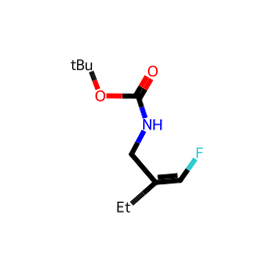 CCC(=CF)CNC(=O)OC(C)(C)C